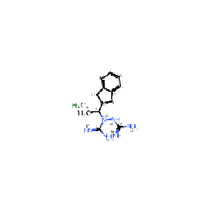 CC(C1Cc2ccccc2C1)N(NC(=N)N)C(=N)N.Cl